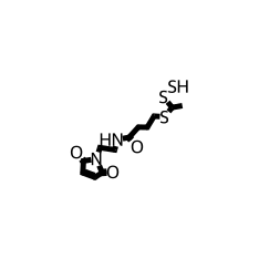 CC(SS)SCCCC(=O)NCCN1C(=O)C=CC1=O